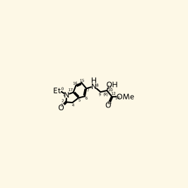 CCN1C(=O)Cc2cc(NC[C@@H](O)C(=O)OC)ccc21